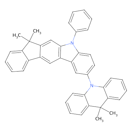 CC1(C)c2ccccc2-c2cc3c4cc(N5c6ccccc6C(C)(C)c6ccccc65)ccc4n(-c4ccccc4)c3cc21